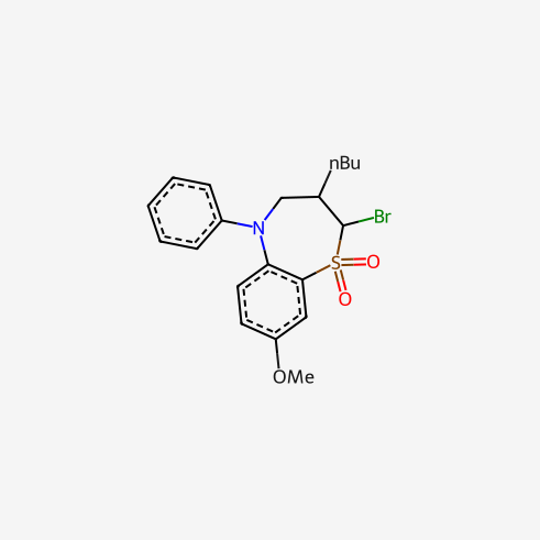 CCCCC1CN(c2ccccc2)c2ccc(OC)cc2S(=O)(=O)C1Br